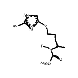 COC(=O)N(F)C(C)CCOc1c[nH]c(C(C)C)n1